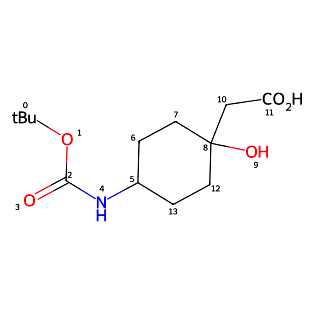 CC(C)(C)OC(=O)NC1CCC(O)(CC(=O)O)CC1